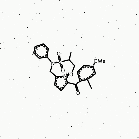 COc1ccc(C(=O)c2ccc(CN(c3ccccc3)S(=O)(=O)C(C)CO)[nH]2)c(C)c1